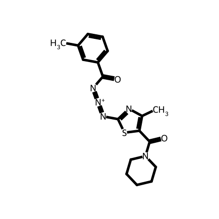 Cc1cccc(C(=O)N=[N+]=Nc2nc(C)c(C(=O)N3CCCCC3)s2)c1